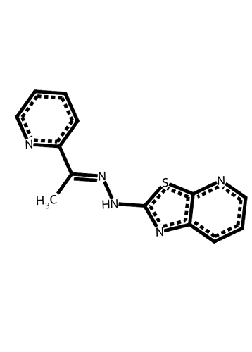 C/C(=N\Nc1nc2cccnc2s1)c1ccccn1